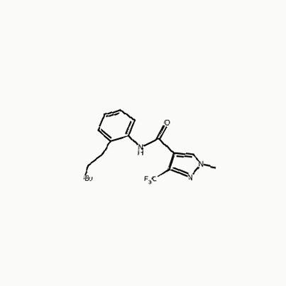 CCC(C)CCc1ccccc1NC(=O)c1cn(C)nc1C(F)(F)F